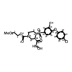 COCCOC(=O)N1CCN(S(=O)(=O)c2ccc(Oc3ccc(Cl)cc3)c(F)c2)[C@@H](C(=O)NO)C1